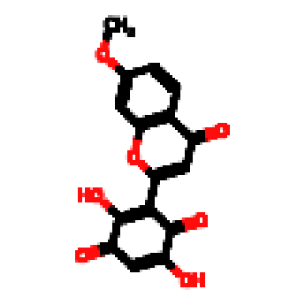 COc1ccc2c(=O)cc(C3=C(O)C(=O)C=C(O)C3=O)oc2c1